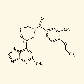 CCOc1ccc(C(=O)N2CCO[C@H](c3cc(C)nc4ncnn34)C2)cc1C